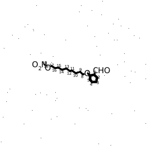 O=Cc1ccccc1OCCCCCCCCCCO[N+](=O)[O-]